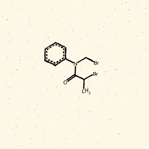 CC(Br)C(=O)N(CBr)c1ccccc1